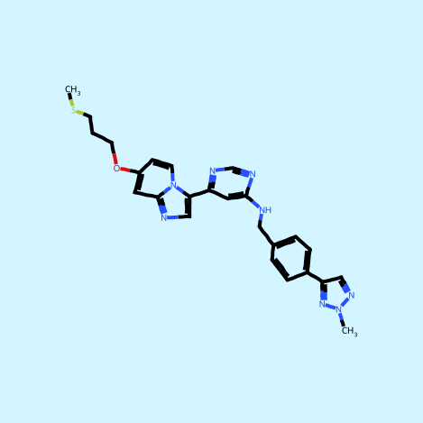 CSCCCOc1ccn2c(-c3cc(NCc4ccc(-c5cnn(C)n5)cc4)ncn3)cnc2c1